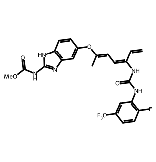 C=C/C(=C\C=C(/C)Oc1ccc2[nH]c(NC(=O)OC)nc2c1)NC(=O)Nc1cc(C(F)(F)F)ccc1F